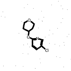 Clc1ccc(OC2CCOCC2)nc1